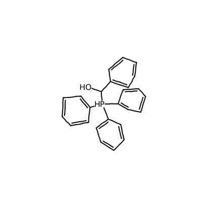 OC(c1ccccc1)[PH](c1ccccc1)(c1ccccc1)c1ccccc1